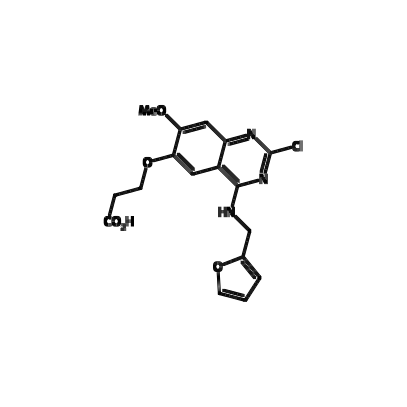 COc1cc2nc(Cl)nc(NCc3ccco3)c2cc1OCCC(=O)O